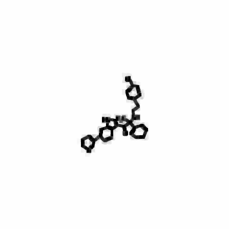 CC(NCCc1ccc(Cl)cc1)(C(=O)c1c[nH]c2cc(-c3cccnc3)ccc12)c1ccccc1